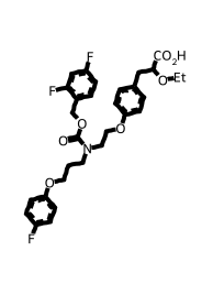 CCOC(Cc1ccc(OCCN(CCCOc2ccc(F)cc2)C(=O)OCc2ccc(F)cc2F)cc1)C(=O)O